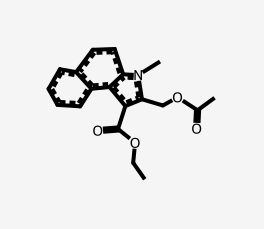 CCOC(=O)c1c(COC(C)=O)n(C)c2ccc3ccccc3c12